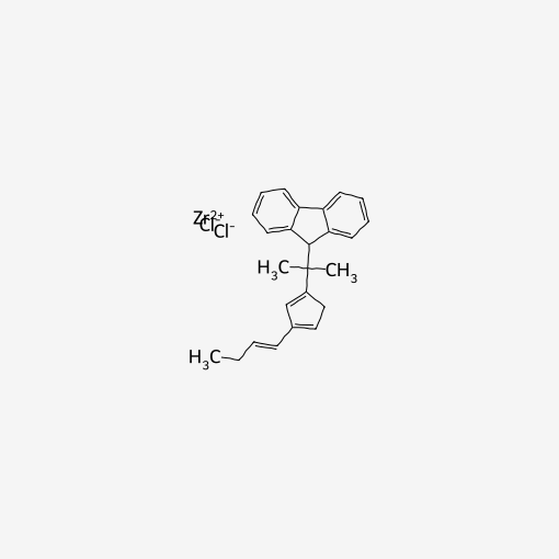 CCC=CC1=CCC(C(C)(C)C2c3ccccc3-c3ccccc32)=C1.[Cl-].[Cl-].[Zr+2]